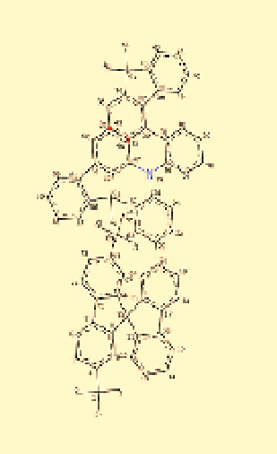 CC(C)(C)c1ccc2c(c1)C1(c3ccccc3-c3ccc(-c4ccc(N(c5ccccc5-c5cccc6c5-c5ccccc5C6(C)C)c5cccc6c5C(C)(C)c5ccccc5-6)cc4)cc31)c1cc(C(C)(C)C)ccc1-2